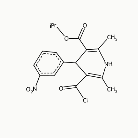 CC1=C(C(=O)Cl)C(c2cccc([N+](=O)[O-])c2)C(C(=O)OC(C)C)=C(C)N1